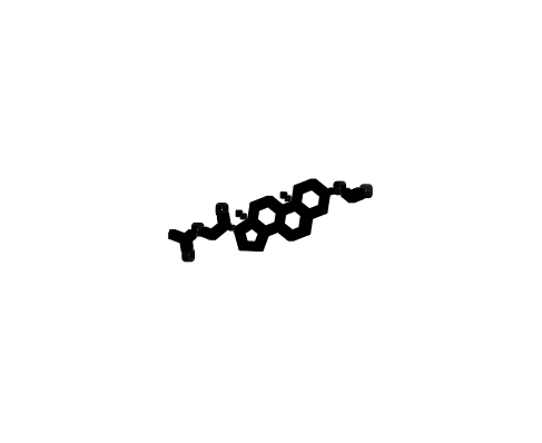 CC(=O)OCC(=O)[C@H]1CCC2C3CC=C4C[C@@H](OC=O)CC[C@]4(C)C3CC[C@@]21C